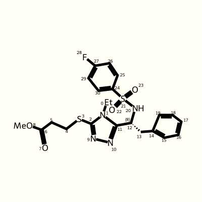 CCn1c(SCCC(=O)OC)nnc1[C@@H](Cc1ccccc1)NS(=O)(=O)c1ccc(F)cc1